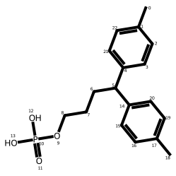 Cc1ccc(C(CCCOP(=O)(O)O)c2ccc(C)cc2)cc1